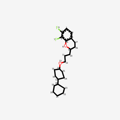 Fc1ccc2c(c1F)OC(CCCOC1CCC(C3CCCCC3)CC1)CC2